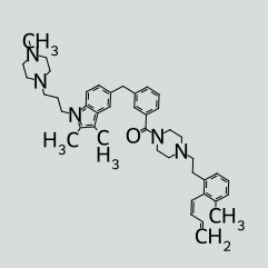 C=C/C=C\c1c(C)cccc1CCN1CCN(C(=O)c2cccc(Cc3ccc4c(c3)c(C)c(C)n4CCCN3CCN(C)CC3)c2)CC1